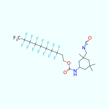 CC1(C)CC(NC(=O)OCCC(F)(F)C(F)(F)C(F)(F)C(F)(F)C(F)(F)C(F)(F)C(F)(F)C(F)(F)F)CC(C)(CN=C=O)C1